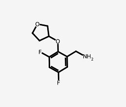 NCc1cc(F)cc(F)c1OC1CCOC1